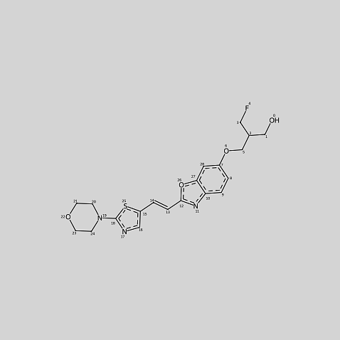 OCC(CF)COc1ccc2nc(C=Cc3cnc(N4CCOCC4)s3)oc2c1